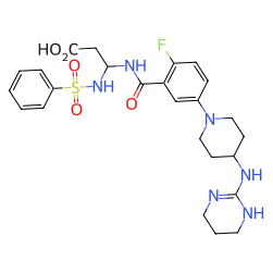 O=C(O)CC(NC(=O)c1cc(N2CCC(NC3=NCCCN3)CC2)ccc1F)NS(=O)(=O)c1ccccc1